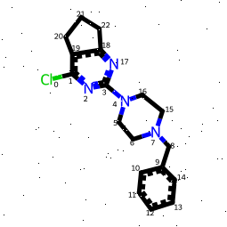 Clc1nc(N2CCN(Cc3ccccc3)CC2)nc2c1CCC2